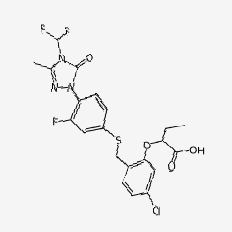 CCC(Oc1cc(Cl)ccc1CSc1ccc(-n2nc(C)n(C(F)F)c2=O)c(F)c1)C(=O)O